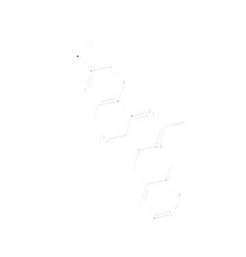 Cc1nc(Oc2ccccc2F)c(N)c(-c2ccc(C(F)(F)F)cc2F)n1